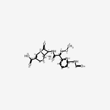 CON=C(C(=O)NC1C(=O)N2C=C(C(=O)O)CS[C@H]12)c1cccc(NC=O)n1